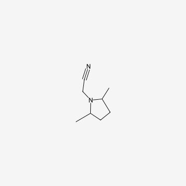 CC1CCC(C)N1CC#N